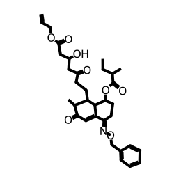 C=CCOC(=O)CC(O)CC(=O)CCC1C(C)C(=O)C=C2C(=NOCc3ccccc3)CCC(OC(=O)C(C)CC)C21